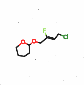 FC(=CCCl)COC1CCCCO1